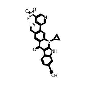 C#Cc1ccc2c(c1)[nH]c1c2c(=O)c2cc(CC(C)C)c(-c3cncc(S(=O)(=O)F)c3)cc2n1C1CC1